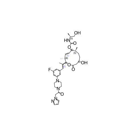 C/C(=C\c1cc(F)cc(N2CCN(C(=O)Cn3cccn3)CC2)c1)[C@@H]1OC(=O)C[C@@H](O)CC[C@H](C)[C@H](OC(=O)N[C@@H](C)CO)/C=C/[C@H]1C